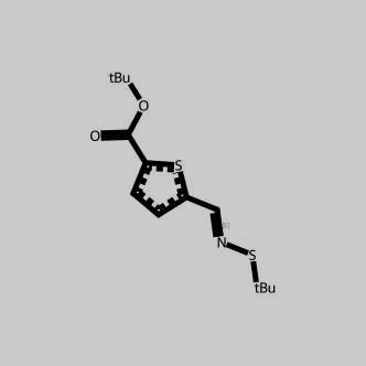 CC(C)(C)OC(=O)c1ccc(/C=N/SC(C)(C)C)s1